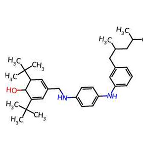 CC(C)CC(C)Cc1cccc(Nc2ccc(NCC3=CC(C(C)(C)C)C(O)C(C(C)(C)C)=C3)cc2)c1